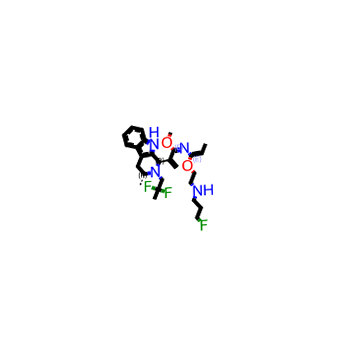 C=C(/C(=N\C(=C/C)OCCNCCCF)OC)[C@@H]1c2[nH]c3ccccc3c2C[C@@H](C)N1CC(C)(F)F